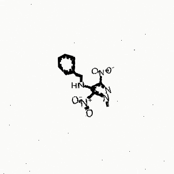 Cn1nc([N+](=O)[O-])c(NCc2ccccc2)c1[N+](=O)[O-]